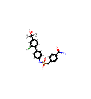 NC(=O)c1ccc(CS(=O)(=O)Nc2ccc(-c3ccc(C(O)(C(F)(F)F)C(F)(F)F)cc3F)cc2)cc1